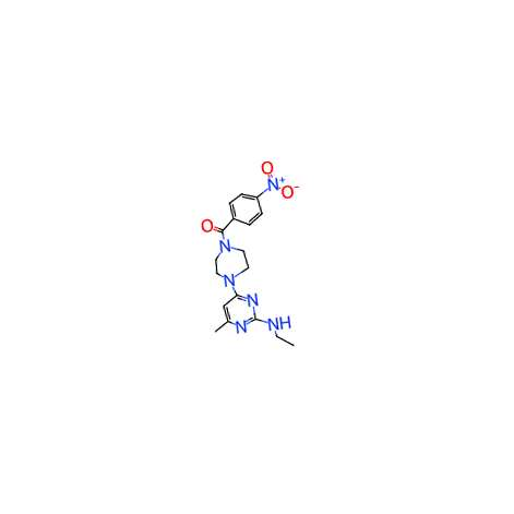 CCNc1nc(C)cc(N2CCN(C(=O)c3ccc([N+](=O)[O-])cc3)CC2)n1